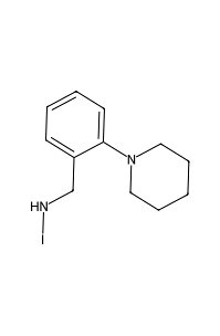 INCc1ccccc1N1CCCCC1